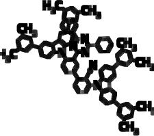 Cc1cc(C)cc(-c2ccc3c(c2)c2cc(-c4cc(C)cc(C)c4)ccc2n3-c2ccc(-c3cccc(-n4c5ccc(-c6cc(C)cc(C)c6)cc5c5cc(-c6cc(C)cc(C)c6)ccc54)c3C#N)cc2-c2nc(-c3ccccc3)nc(-c3ccccc3)n2)c1